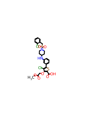 COC(=O)COc1c(C(=O)O)sc(-c2cccc(NC3CCN(S(=O)(=O)Cc4ccccc4Cl)CC3)c2)c1Cl